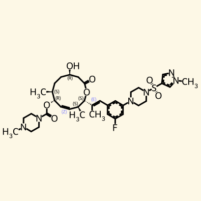 C/C(=C\c1cc(F)cc(N2CCN(S(=O)(=O)c3cnn(C)c3)CC2)c1)[C@H]1OC(=O)C[C@H](O)CC[C@H](C)[C@@H](OC(=O)N2CCN(C)CC2)/C=C\[C@@H]1C